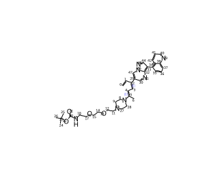 C=C/C(=C\C=C(/C)N1CCN(CCOCCOCCNC(=O)OC(C)(C)C)CC1)c1cnc2c(-c3cccc4ncccc34)cnn2c1